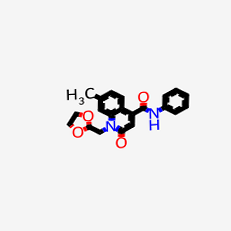 Cc1ccc2c(C(=O)Nc3ccccc3)cc(=O)n(CC3OCCO3)c2c1